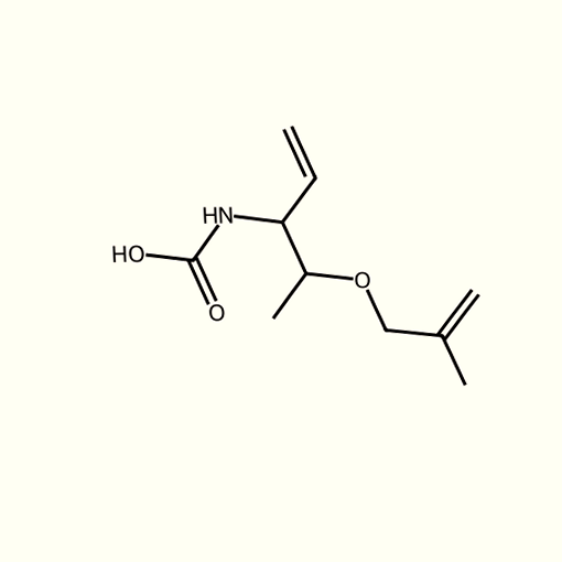 C=CC(NC(=O)O)C(C)OCC(=C)C